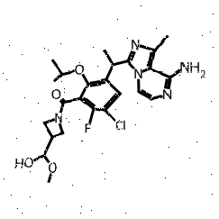 COC(O)C1CN(C(=O)c2c(F)c(Cl)cc(C(C)c3nc(C)c4c(N)nccn34)c2OC(C)C)C1